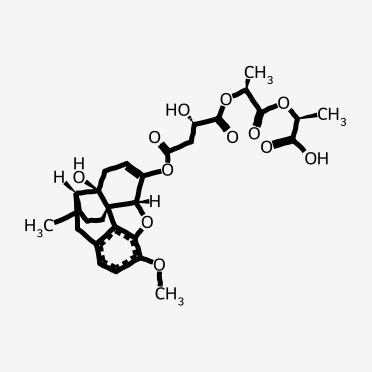 COc1ccc2c3c1O[C@H]1C(OC(=O)C[C@H](O)C(=O)O[C@@H](C)C(=O)O[C@@H](C)C(=O)O)=CC[C@@]4(O)[C@@H](C2)C(C)CC[C@]314